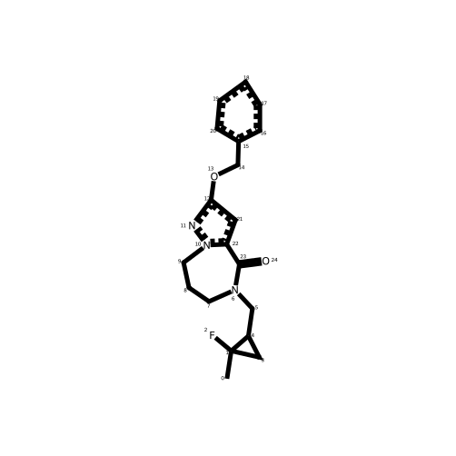 CC1(F)CC1CN1CCCn2nc(OCc3ccccc3)cc2C1=O